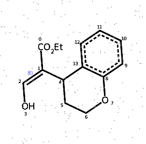 CCOC(=O)/C(=C/O)C1CCOc2ccccc21